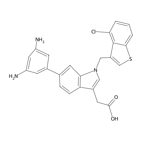 Nc1cc(N)cc(-c2ccc3c(CC(=O)O)cn(Cc4csc5cccc(Cl)c45)c3c2)c1